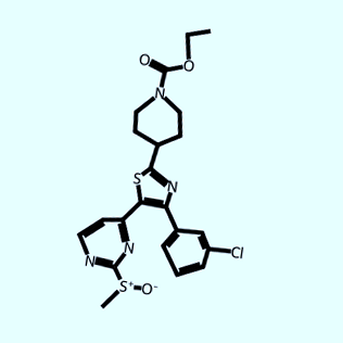 CCOC(=O)N1CCC(c2nc(-c3cccc(Cl)c3)c(-c3ccnc([S+](C)[O-])n3)s2)CC1